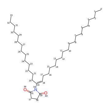 CCCCCCCCCCCCCCCCCC/C=C(\CCCCCCCCCCCCCC)N1C(=O)CCC1=O